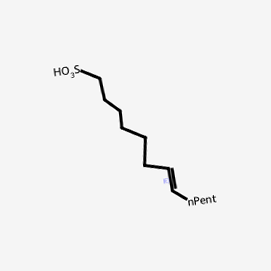 CCCCC/C=C/CCCCCCS(=O)(=O)O